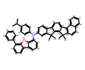 CC(C)c1ccc(N(c2ccc3c(c2)C(C)(C)c2c-3ccc3c2C(C)(C)c2ccc4ccccc4c2-3)c2cccc3c2oc2c(-c4ccccc4)cccc23)cc1